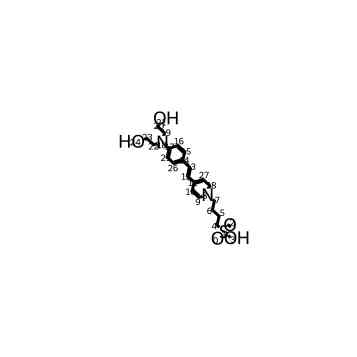 O=S(=O)(O)CCCCN1C=CC(/C=C/c2ccc(N(CCO)CCO)cc2)=CC1